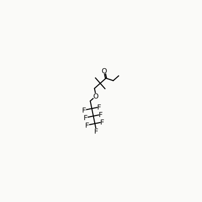 CCC(=O)C(C)(C)COCC(F)(F)C(F)(F)C(F)(F)F